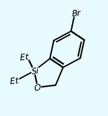 CC[Si]1(CC)OCc2ccc(Br)cc21